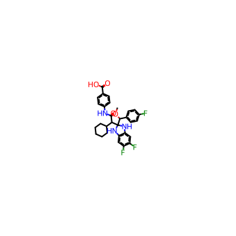 COC(c1ccc(F)cc1)C1(C(C(=O)Nc2ccc(C(=O)O)cc2)C2CCCCC2)Nc2cc(F)c(F)cc2N1